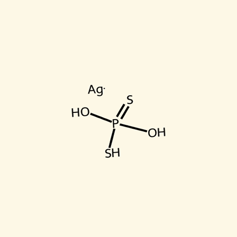 OP(O)(=S)S.[Ag]